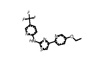 CCOc1ccc(-c2csc(Nc3ccc(C(F)(F)F)cn3)n2)nc1